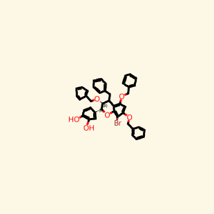 Oc1ccc([C@H]2Oc3c(Br)c(OCc4ccccc4)cc(OCc4ccccc4)c3C(Cc3ccccc3)[C@H]2OCc2ccccc2)cc1O